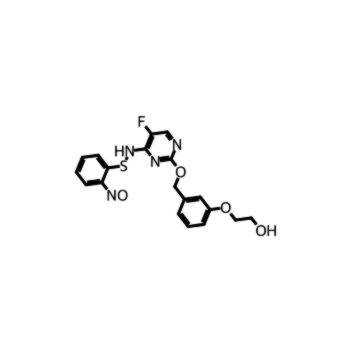 O=Nc1ccccc1SNc1nc(OCc2cccc(OCCO)c2)ncc1F